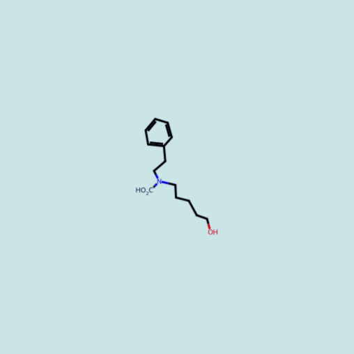 O=C(O)N(CCCCCO)CCc1ccccc1